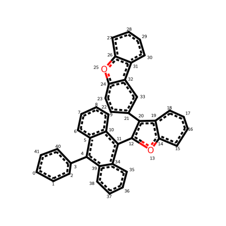 c1ccc(-c2c3ccccc3c(-c3oc4ccccc4c3-c3ccc4oc5ccccc5c4c3)c3ccccc23)cc1